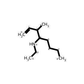 C=CC(C)C(CCCC)NCC